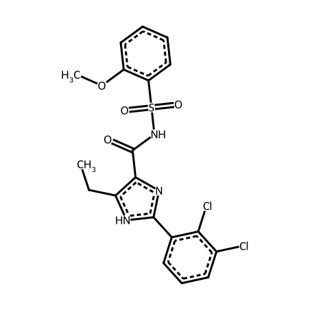 CCc1[nH]c(-c2cccc(Cl)c2Cl)nc1C(=O)NS(=O)(=O)c1ccccc1OC